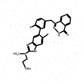 COCCN(C(=O)O)c1nc2cc(-c3cc(Cc4n[nH]c(=O)c5ccccc45)ccc3F)c(F)cc2[nH]1